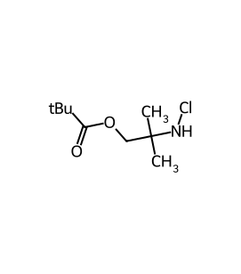 CC(C)(COC(=O)C(C)(C)C)NCl